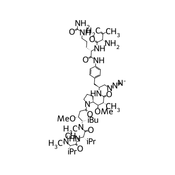 C=C(C)[C@H](N)C(=O)N[C@@H](CCCNC(N)=O)C(=O)Nc1ccc(C[C@@H](CN=[N+]=[N-])NC(=O)[C@H](C)[C@@H](OC)[C@@H]2CCCN2C(=O)C[C@@H](OC)[C@H]([C@@H](C)CC)N(C)C(=O)[C@@H](NC(=O)[C@H](C(C)C)N(C)C)C(C)C)cc1